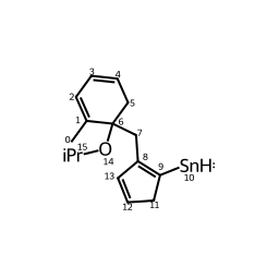 CC1=CC=CCC1(CC1=[C]([SnH])CC=C1)OC(C)C